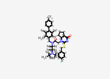 [2H]c1c([2H])c(-c2ccc(C(F)(F)F)cc2)c([2H])c(C)c1CN(C(=O)Cn1c(SCc2ccc(F)cc2)nc(=O)c2c1CCC2)C([2H])([2H])C([2H])([2H])N(C([2H])([2H])C)C([2H])([2H])C